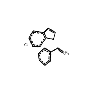 C1=Cc2ccccc2C1.C=Cc1ccccc1.[C]